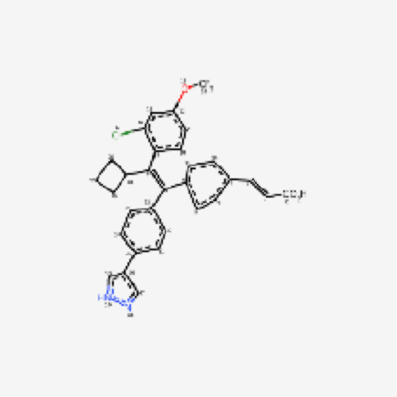 O=C(O)C=Cc1ccc(C(=C(c2ccc(OC(F)(F)F)cc2Cl)C2CCC2)c2ccc(-c3cn[nH]c3)cc2)cc1